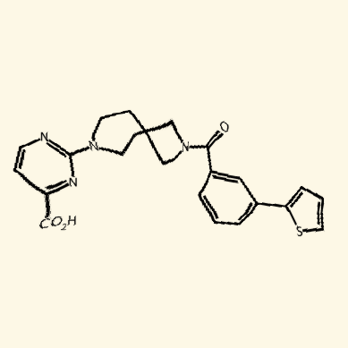 O=C(O)c1ccnc(N2CCC3(CN(C(=O)c4cccc(-c5cccs5)c4)C3)C2)n1